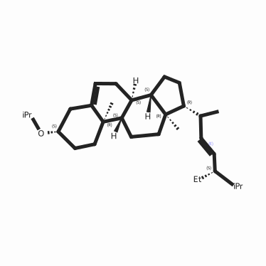 CC[C@H](/C=C/C(C)[C@H]1CC[C@H]2[C@@H]3CC=C4C[C@@H](OC(C)C)CC[C@]4(C)[C@H]3CC[C@]12C)C(C)C